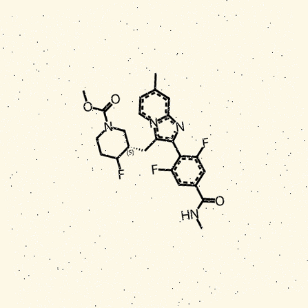 CNC(=O)c1cc(F)c(-c2nc3cc(C)ccn3c2C[C@H]2CN(C(=O)OC)CCC2F)c(F)c1